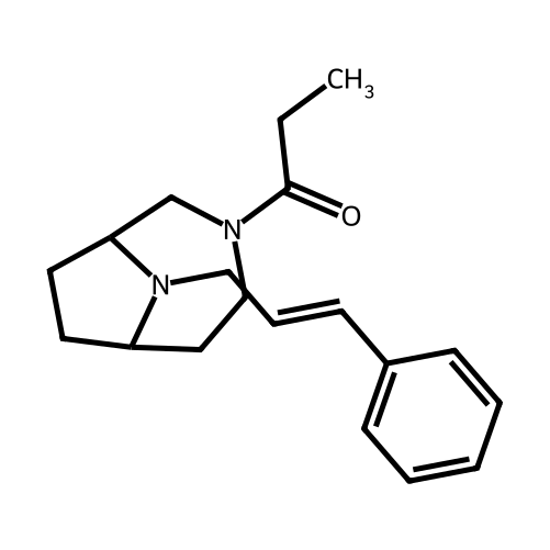 CCC(=O)N1CCC2CCC(C1)N2CC=Cc1ccccc1